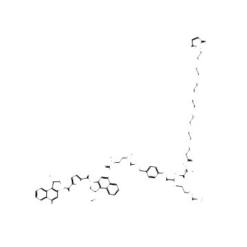 CC(=O)Oc1cc2c(c3ccccc13)[C@H](CCl)CN2C(=O)c1ccc(C(=O)N2C[C@@H](CCl)c3c2cc(OC(=O)N(C)CCN(C)C(=O)OCc2ccc(NC(=O)[C@H](CCCNC(N)=O)NC(=O)[C@@H](NC(=O)CCOCCOCCOCCOCCOCCOCCN4C(=O)C=CC4=O)C(C)C)cc2)c2ccccc32)s1